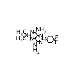 CN(C)c1nc(N)c2nc(N3CCC(F)(F)CC3)nc(N)c2n1